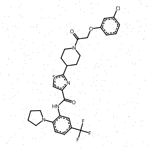 O=C(Nc1cc(C(F)(F)F)ccc1N1CCCC1)c1csc(C2CCN(C(=O)COc3cccc(Cl)c3)CC2)n1